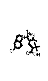 Cc1nn(C)c(-n2ccc3cc(Cl)ccc32)c1C=C(C(=O)O)C(C)(C)C